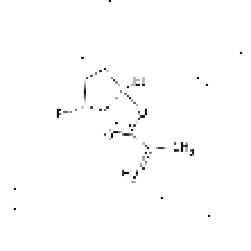 C=C(C)C(=O)OC1(CC)CCC(CC)C1